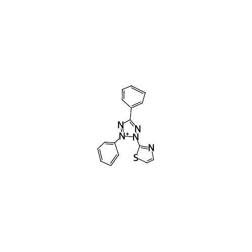 c1ccc(-c2nn(-c3nccs3)[n+](-c3ccccc3)n2)cc1